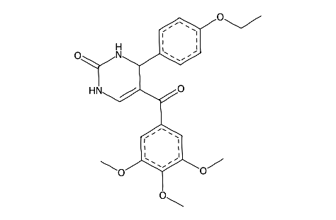 CCOc1ccc(C2NC(=O)NC=C2C(=O)c2cc(OC)c(OC)c(OC)c2)cc1